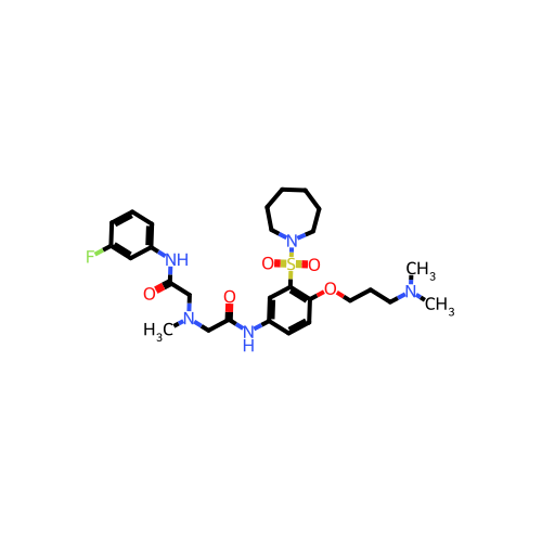 CN(C)CCCOc1ccc(NC(=O)CN(C)CC(=O)Nc2cccc(F)c2)cc1S(=O)(=O)N1CCCCCC1